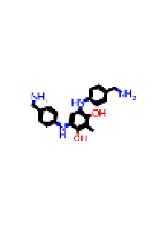 Cc1c(O)c(Nc2ccc(CN)cc2)cc(Nc2ccc(CN)cc2)c1O